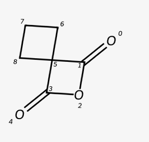 O=C1OC(=O)C12CCC2